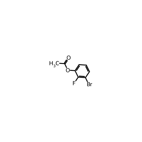 CC(=O)Oc1cccc(Br)c1F